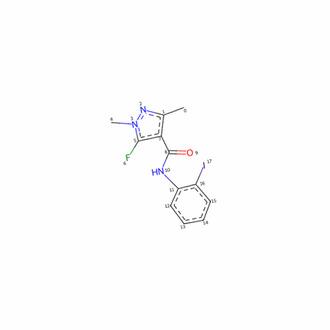 Cc1nn(C)c(F)c1C(=O)Nc1ccccc1I